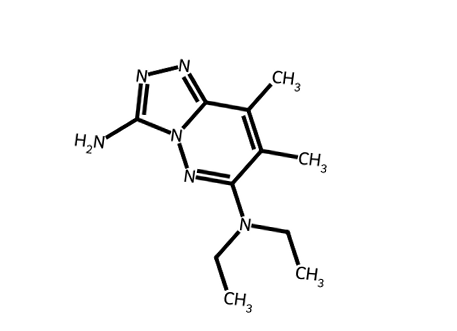 CCN(CC)c1nn2c(N)nnc2c(C)c1C